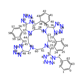 c1ccc(Cn2nnnc2CN2CCN(Cc3nnnn3Cc3ccccc3)CCN(Cc3nnnn3Cc3ccccc3)CCN(Cc3nnnn3Cc3ccccc3)CC2)cc1